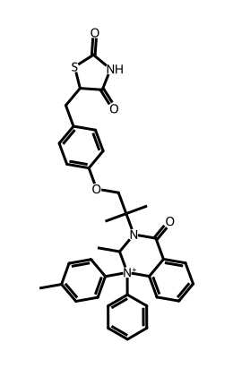 Cc1ccc([N+]2(c3ccccc3)c3ccccc3C(=O)N(C(C)(C)COc3ccc(CC4SC(=O)NC4=O)cc3)C2C)cc1